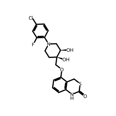 O=C1Nc2cccc(OC[C@]3(O)CCN(c4ccc(Cl)cc4F)C[C@H]3O)c2CS1